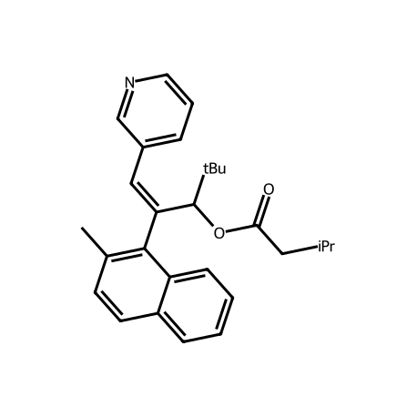 Cc1ccc2ccccc2c1/C(=C/c1cccnc1)C(OC(=O)CC(C)C)C(C)(C)C